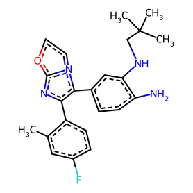 Cc1cc(F)ccc1-c1nc2occn2c1-c1ccc(N)c(NCC(C)(C)C)c1